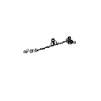 CCCCCC=CCC=CCC=CCC=CCCCCC(CCCCCCCCCCCO[Si](c1ccccc1)(c1ccccc1)C(C)(C)C)S(=O)(=O)c1ccccc1